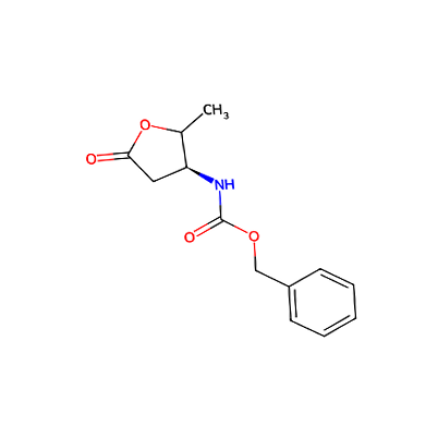 CC1OC(=O)C[C@@H]1NC(=O)OCc1ccccc1